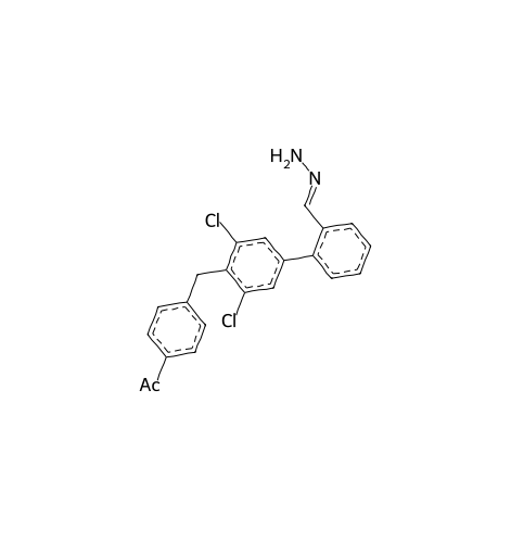 CC(=O)c1ccc(Cc2c(Cl)cc(-c3ccccc3C=NN)cc2Cl)cc1